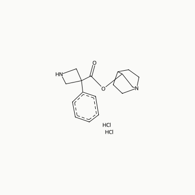 Cl.Cl.O=C(OC1CN2CCC1CC2)C1(c2ccccc2)CNC1